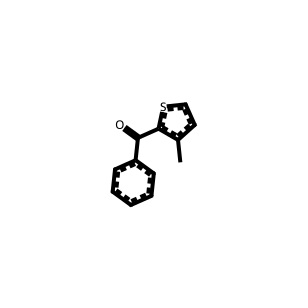 Cc1ccsc1C(=O)c1ccccc1